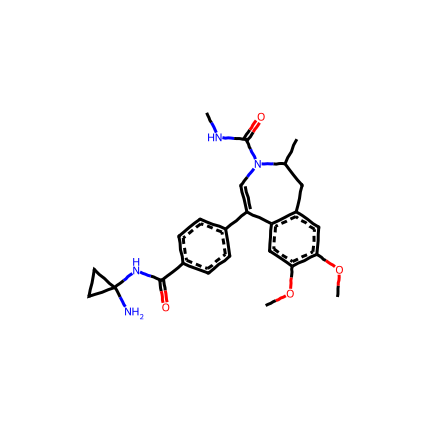 CNC(=O)N1C=C(c2ccc(C(=O)NC3(N)CC3)cc2)c2cc(OC)c(OC)cc2CC1C